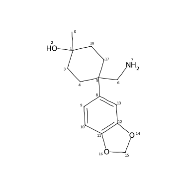 CC1(O)CCC(CN)(c2ccc3c(c2)OCO3)CC1